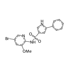 COc1cc(Br)cnc1NS(=O)(=O)c1c[nH]c(-c2ccccc2)c1